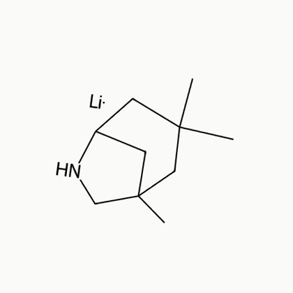 CC1(C)CC2CC(C)(CN2)C1.[Li]